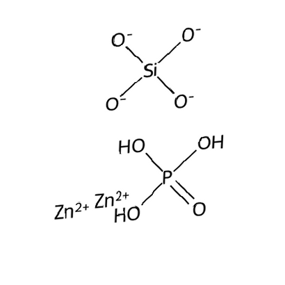 O=P(O)(O)O.[O-][Si]([O-])([O-])[O-].[Zn+2].[Zn+2]